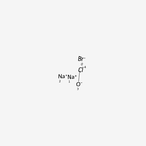 [Br-].[Na+].[Na+].[O-]Cl